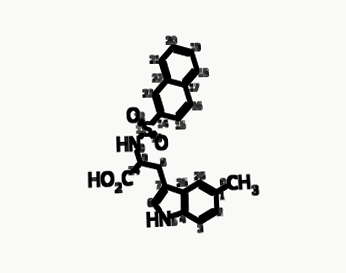 Cc1ccc2[nH]cc(CC(NS(=O)(=O)c3ccc4ccccc4c3)C(=O)O)c2c1